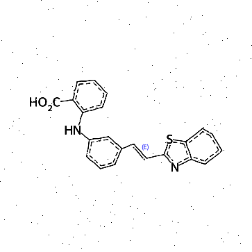 O=C(O)c1ccccc1Nc1cccc(/C=C/c2nc3ccccc3s2)c1